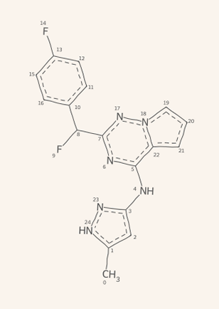 Cc1cc(Nc2nc(C(F)c3ccc(F)cc3)nn3cccc23)n[nH]1